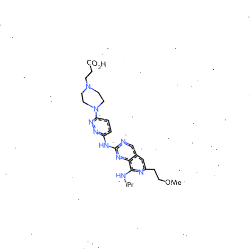 COCCc1cc2cnc(Nc3ccc(N4CCN(CCC(=O)O)CC4)nn3)nc2c(NC(C)C)n1